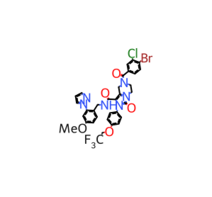 COc1ccc(CNC(=O)c2c3n(c(=O)n2-c2ccc(OCC(F)(F)F)cc2)CCN(C(=O)c2ccc(Br)c(Cl)c2)C3)c(-n2cccn2)c1